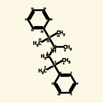 C[SiH]([SiH2][Si](C)(C)c1ccccc1)[Si](C)(C)c1ccccc1